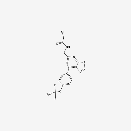 CC(F)(F)Oc1ccc(-c2nc(CNC(=O)CCl)nc3scnc23)cc1